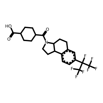 O=C(O)C1CCC(C(=O)N2CCC3c4ccc(C(F)(C(F)(F)F)C(F)(F)F)cc4CCC32)CC1